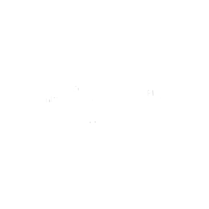 CCCOC(=O)CCP